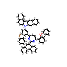 C1=CC(c2cc(-n3c4cc5ccccc5cc4c4c5ccccc5ccc43)cc3sc4ccccc4c23)=NC(c2cc3ccccc3c3ccccc23)=NC=1c1cccc2c1oc1ccccc12